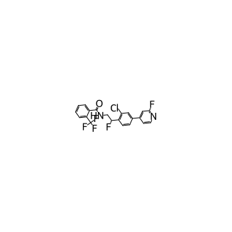 O=C(NCC(F)c1ccc(-c2ccnc(F)c2)cc1Cl)c1ccccc1C(F)(F)F